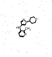 [CH2]c1ncccc1Nc1cnn(C2CCOCC2)c1